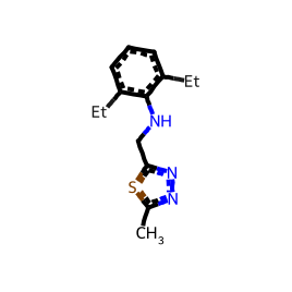 CCc1cccc(CC)c1NCc1nnc(C)s1